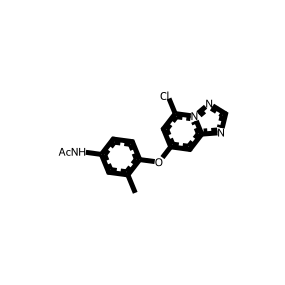 CC(=O)Nc1ccc(Oc2cc(Cl)n3ncnc3c2)c(C)c1